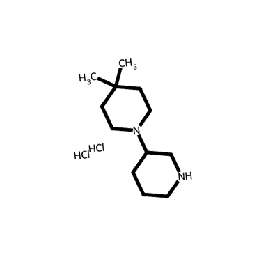 CC1(C)CCN(C2CCCNC2)CC1.Cl.Cl